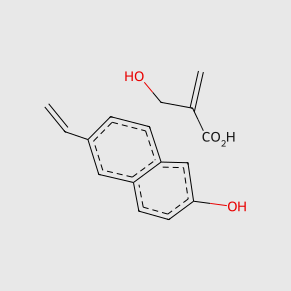 C=C(CO)C(=O)O.C=Cc1ccc2cc(O)ccc2c1